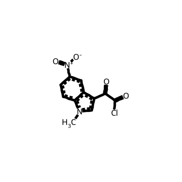 Cn1cc(C(=O)C(=O)Cl)c2cc([N+](=O)[O-])ccc21